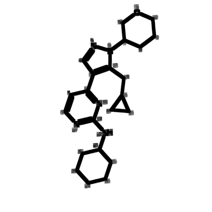 c1cc(-c2cnn(C3CCCOC3)c2CC2CC2)nc(NC2CCCCC2)n1